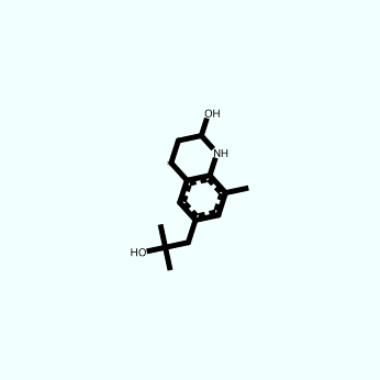 Cc1cc(CC(C)(C)O)cc2c1NC(O)C[C]2